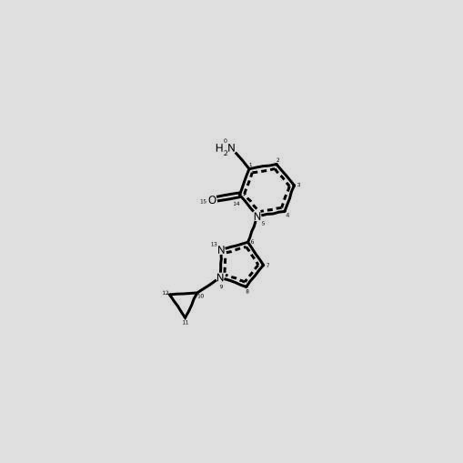 Nc1cccn(-c2ccn(C3CC3)n2)c1=O